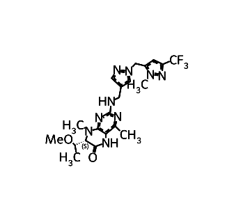 COC(C)[C@H]1C(=O)Nc2c(C)nc(NCc3cnn(Cc4cc(C(F)(F)F)nn4C)c3)nc2N1C